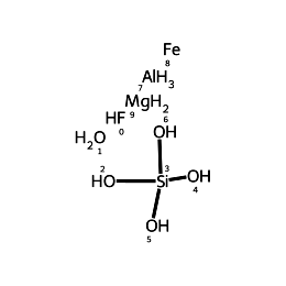 F.O.O[Si](O)(O)O.[AlH3].[Fe].[MgH2]